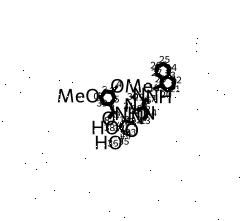 COc1cc(OC)cc(C(=O)NC2[C@H](n3cnc4c(NCc5cccc6ccccc56)ncnc43)O[C@H](CO)[C@H]2O)c1